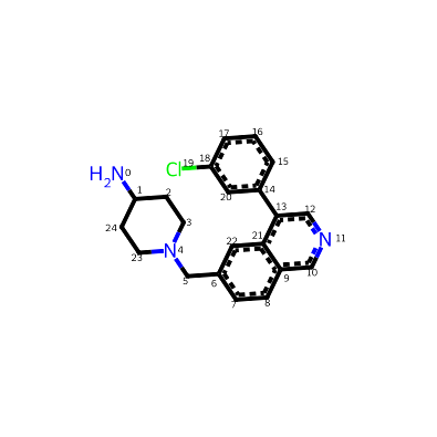 NC1CCN(Cc2ccc3cncc(-c4cccc(Cl)c4)c3c2)CC1